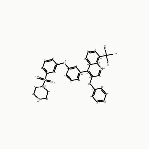 O=S(=O)(c1cccc(Oc2cccc(-c3c(Cc4ccccc4)cnc4c(C(F)(F)F)cccc34)c2)c1)N1CCOCC1